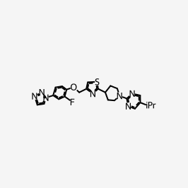 CC(C)c1cnc(N2CCC(c3nc(COc4ccc(-n5ccnn5)cc4F)cs3)CC2)nc1